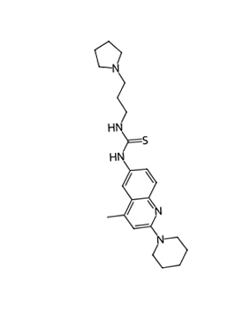 Cc1cc(N2CCCCC2)nc2ccc(NC(=S)NCCCN3CCCC3)cc12